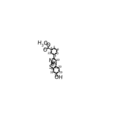 COC(=O)c1cccc(-c2cn3c(n2)sc2cc(O)ccc23)c1